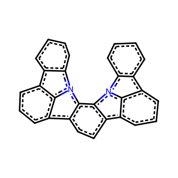 c1ccc2c(c1)c1cccc3c4ccc5c6cccc7c8ccccc8n(c76)c5c4n2c13